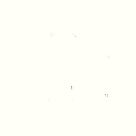 N#CC1=C(C#N)C(C#N)N(F)c2c(F)c(F)c(F)c(C#N)c21